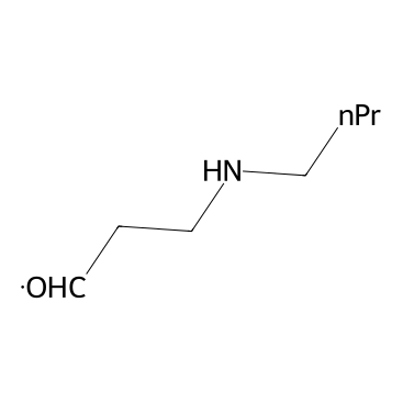 CCCCNCC[C]=O